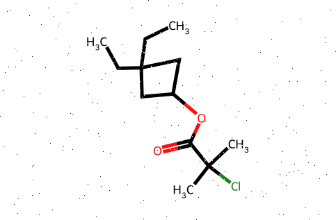 CCC1(CC)CC(OC(=O)C(C)(C)Cl)C1